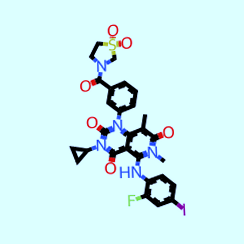 Cc1c(=O)n(C)c(Nc2ccc(I)cc2F)c2c(=O)n(C3CC3)c(=O)n(-c3cccc(C(=O)N4CCS(=O)(=O)C4)c3)c12